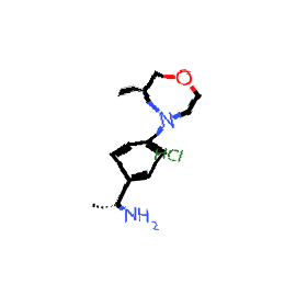 C[C@@H](N)c1ccc(N2CCOC[C@@H]2C)cc1.Cl